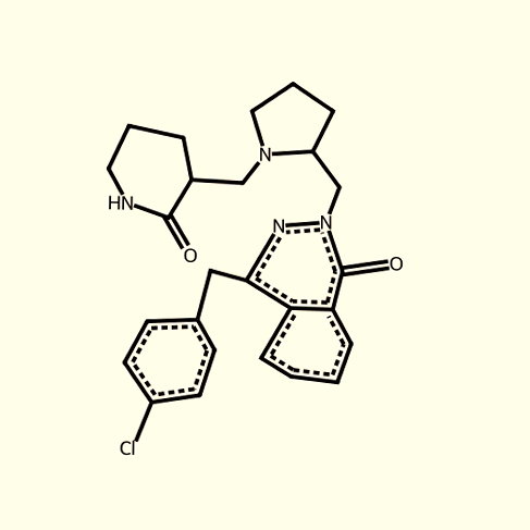 O=C1NCCCC1CN1CCCC1Cn1nc(Cc2ccc(Cl)cc2)c2ccccc2c1=O